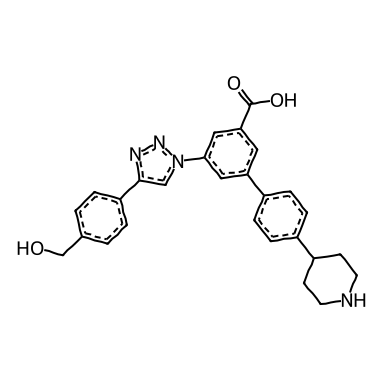 O=C(O)c1cc(-c2ccc(C3CCNCC3)cc2)cc(-n2cc(-c3ccc(CO)cc3)nn2)c1